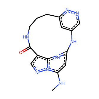 CNc1cc2nc3c(cnn13)C(=O)NCCCc1cc(cnn1)N2